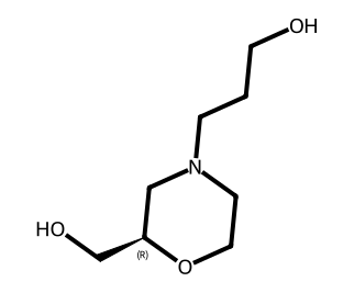 OCCCN1CCO[C@@H](CO)C1